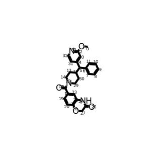 COc1cc(C(c2ccccc2)C2CCN(C(=O)c3ccc4c(c3)NC(=O)CO4)CC2)ccn1